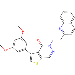 COc1cc(OC)cc(-c2csc3cnn(CCc4ccc5ccccc5n4)c(=O)c23)c1